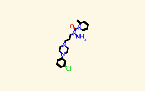 C=C1C=CC=CN1C(=O)N(N)CCCN1CCN(c2cccc(Cl)c2)CC1